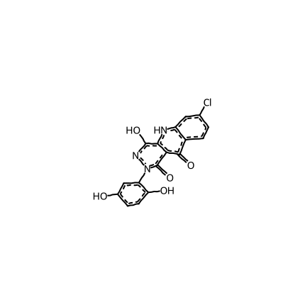 O=c1c2ccc(Cl)cc2[nH]c2c(O)nn(-c3cc(O)ccc3O)c(=O)c12